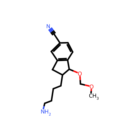 COCOC1c2ccc(C#N)cc2CC1CCCCN